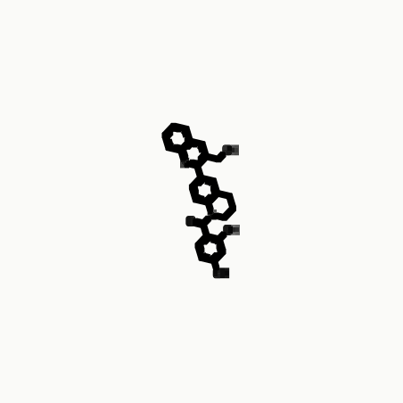 O=C(c1ccc(O)cc1O)N1CCCc2cc(-c3nc4ccccc4cc3CO)ccc21